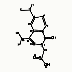 CC(C)c1ccc2c(=O)n(CC(=O)O)nc(C(C)C)c2c1